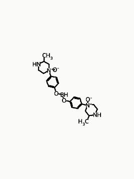 CC1C[N+]([O-])(c2ccc(OBOc3ccc([N+]4([O-])CCNC(C)C4)cc3)cc2)CCN1